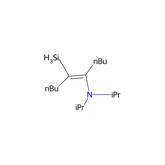 CCCCC([SiH3])=C(CCCC)N(C(C)C)C(C)C